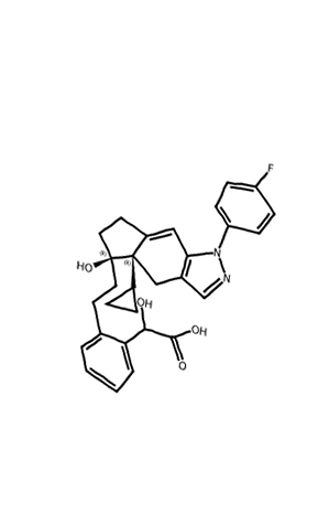 O=C(O)C(O)c1ccccc1CC[C@]1(O)CCC2=Cc3c(cnn3-c3ccc(F)cc3)C[C@@]21C1CC1